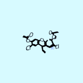 C=CC1C(/C=C(/Cl)C(C)OC(C)=O)=C(C)Oc2cc(OC(C)=O)c(Cl)cc21